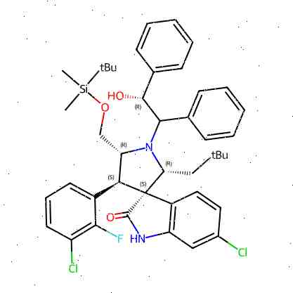 CC(C)(C)C[C@H]1N(C(c2ccccc2)[C@H](O)c2ccccc2)[C@@H](CO[Si](C)(C)C(C)(C)C)[C@H](c2cccc(Cl)c2F)[C@@]12C(=O)Nc1cc(Cl)ccc12